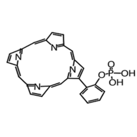 O=P(O)(O)Oc1ccccc1C1=CC2=CC3=NC(=CC4=NC(=CC5=NC(=CC1=N2)C=C5)C=C4)C=C3